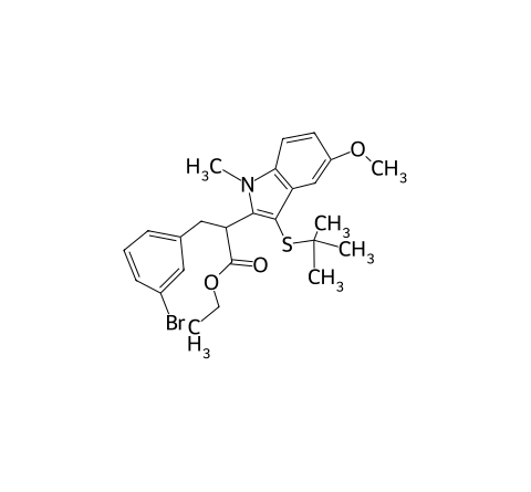 CCOC(=O)C(Cc1cccc(Br)c1)c1c(SC(C)(C)C)c2cc(OC)ccc2n1C